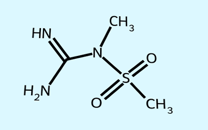 CN(C(=N)N)S(C)(=O)=O